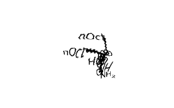 CCCCCCCCC=CCCCCCCCC(=O)OCC(COP(=O)(O)OCCNC(=O)CCN)OC(=O)CCCCCCCC=CCCCCCCCC